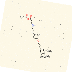 COc1cc(CCCOc2ccc(CCCNCCC(=O)OC(=O)C(F)(F)F)cc2)cc(OC)c1OC